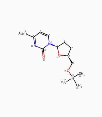 CC(=O)Nc1ccn([C@H]2CC[C@@H](CO[Si](C)(C)C(C)(C)C)O2)c(=O)n1